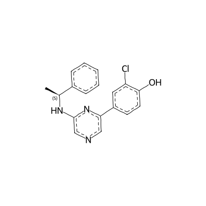 C[C@H](Nc1cncc(-c2ccc(O)c(Cl)c2)n1)c1ccccc1